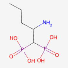 CCCC(N)C(P(=O)(O)O)P(=O)(O)O